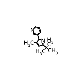 CC1=CC(C(C)(C)C)=NC1c1cccnc1